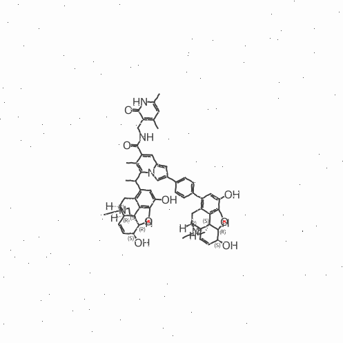 Cc1cc(C)c(CNC(=O)c2cc3cc(-c4ccc(-c5cc(O)c6c7c5C[C@@H]5[C@@H]8C=C[C@H](O)[C@H](O6)[C@]78CCN5C)cc4)cn3c(C(C)c3cc(O)c4c5c3C[C@@H]3[C@@H]6C=C[C@H](O)[C@H](O4)[C@]56CCN3C)c2C)c(=O)[nH]1